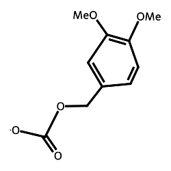 COc1ccc(COC([O])=O)cc1OC